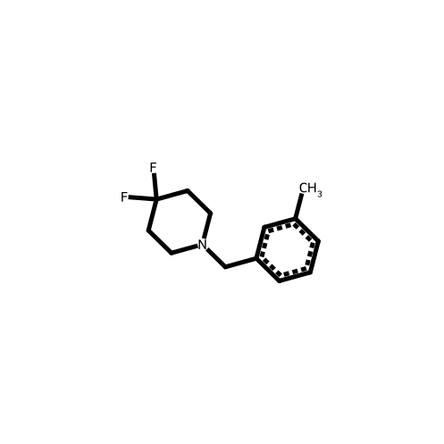 Cc1cccc(CN2CCC(F)(F)CC2)c1